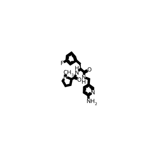 CN1CCCC1C(=O)N[C@@H](Cc1cccc(F)c1)C(=O)NCc1ccc(N)nc1